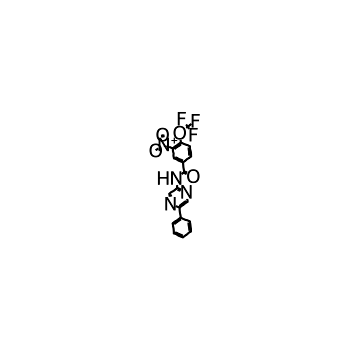 O=C(Nc1cnc(-c2ccccc2)cn1)c1ccc(OC(F)(F)F)c([N+](=O)[O-])c1